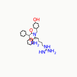 N=C(N)NCCCC[C@@H](C(N)=O)N(Cc1ccc(O)cc1)C(=O)C(c1ccccc1)c1ccccc1